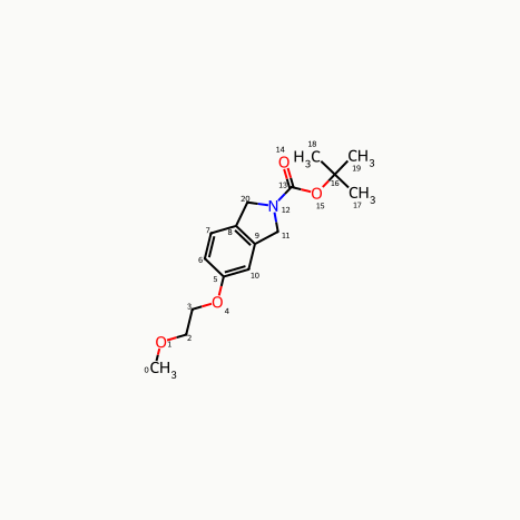 COCCOc1ccc2c(c1)CN(C(=O)OC(C)(C)C)C2